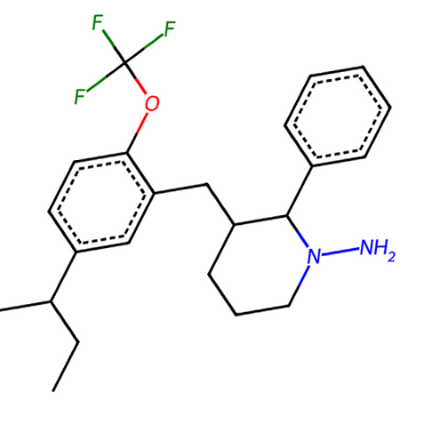 CCC(C)c1ccc(OC(F)(F)F)c(CC2CCCN(N)C2c2ccccc2)c1